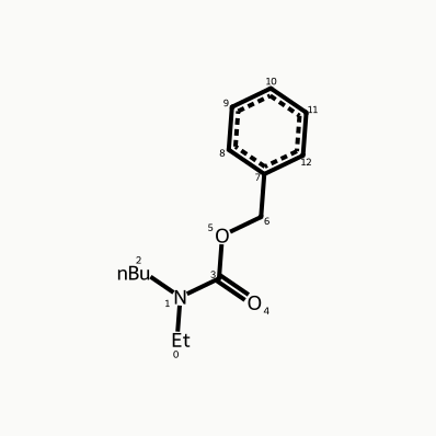 [CH2]CN(CCCC)C(=O)OCc1ccccc1